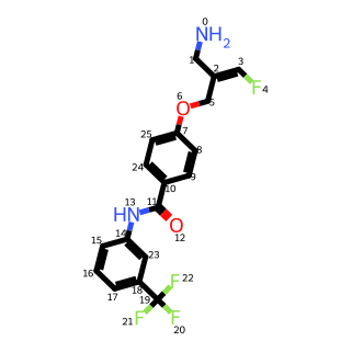 NC/C(=C/F)COc1ccc(C(=O)Nc2cccc(C(F)(F)F)c2)cc1